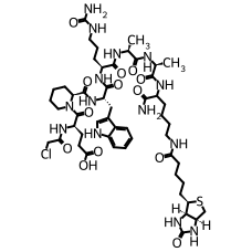 C[C@H](NC(=O)[C@H](C)NC(=O)[C@H](CCCNC(N)=O)NC(=O)[C@H](Cc1c[nH]c2ccccc12)NC(=O)[C@@H]1CCCCN1C(=O)[C@@H](CCC(=O)O)NC(=O)CCl)C(=O)NC(CCCCNC(=O)CCCC[C@H]1SC[C@H]2NC(=O)N[C@H]21)C(N)=O